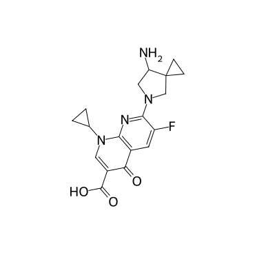 NC1CN(c2nc3c(cc2F)c(=O)c(C(=O)O)cn3C2CC2)CC12CC2